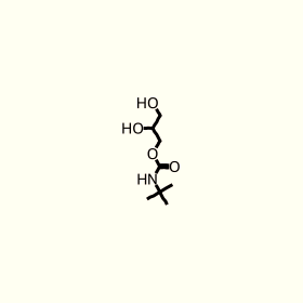 CC(C)(C)NC(=O)OCC(O)CO